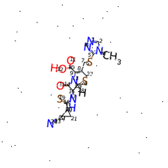 Cn1cnnc1SCC1=C(C(=O)O)N2C(=O)C(NC(=S)[C@H]3C[C@@H]3C#N)[C@@H]2SC1